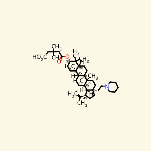 C=C(C)[C@@H]1CC[C@]2(CCN3CCCCC3)CC[C@]3(C)[C@H](CC[C@@H]4[C@@]5(C)CC[C@H](OC(=O)CC(C)(C)CC(=O)O)C(C)(C)[C@@H]5CC[C@]43C)[C@@H]12